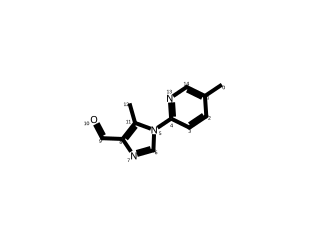 Cc1ccc(-n2cnc(C=O)c2C)nc1